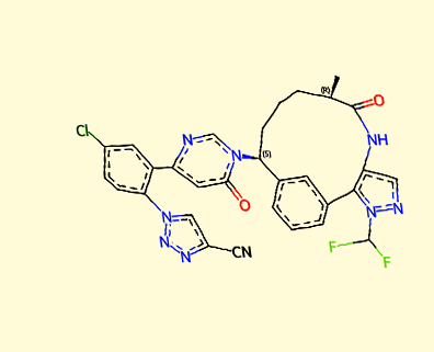 C[C@@H]1CCC[C@H](n2cnc(-c3cc(Cl)ccc3-n3cc(C#N)nn3)cc2=O)c2cccc(c2)-c2c(cnn2C(F)F)NC1=O